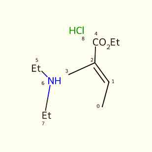 CC=C(C)C(=O)OCC.CCNCC.Cl